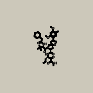 CCC[C@H](NC(=O)[C@@H]1C[C@]2(CC(c3cc(C)c(OC)cc3OC)=NO2)CN1C(=O)[C@@H](NC(=O)CC1CCCCC1)C(C)(C)C)C(=O)C(=O)NC